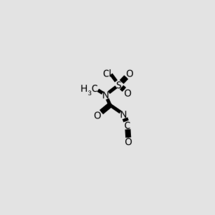 CN(C(=O)N=C=O)S(=O)(=O)Cl